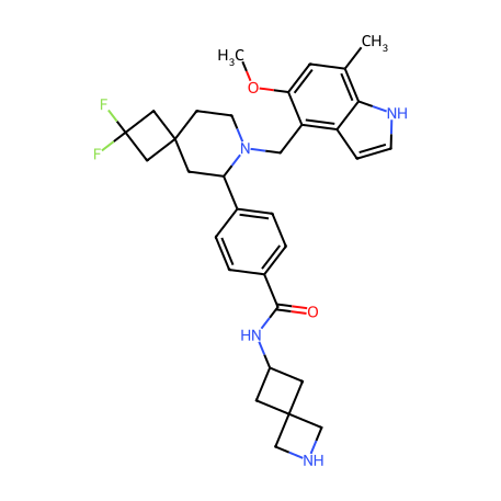 COc1cc(C)c2[nH]ccc2c1CN1CCC2(CC1c1ccc(C(=O)NC3CC4(CNC4)C3)cc1)CC(F)(F)C2